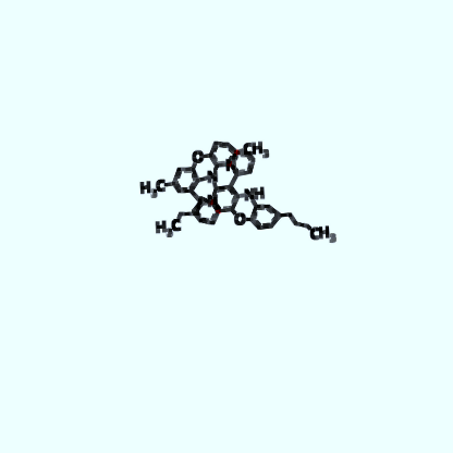 CCCCc1ccc2c(c1)Nc1c(cc(CCCC)c(N3c4cc(C)ccc4Oc4cc(C)cc(-c5ccccn5)c43)c1-c1ccccn1)O2